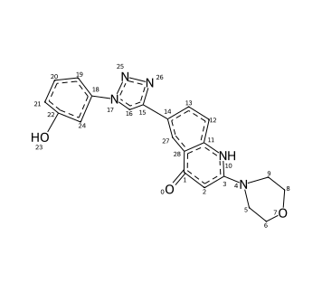 O=c1cc(N2CCOCC2)[nH]c2ccc(-c3cn(-c4cccc(O)c4)nn3)cc12